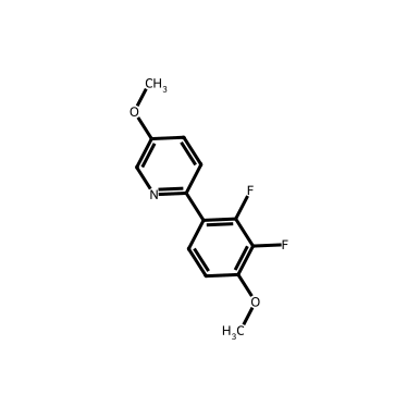 COc1ccc(-c2ccc(OC)c(F)c2F)nc1